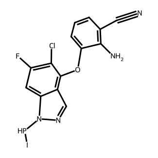 N#Cc1cccc(Oc2c(Cl)c(F)cc3c2cnn3PI)c1N